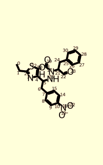 CCc1nc(C(Cc2ccc([N+](=O)[O-])cc2)NN(C(=O)O)C(C=O)Cc2ccccc2)cs1